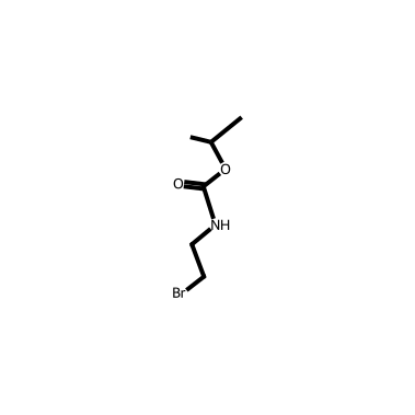 CC(C)OC(=O)NCCBr